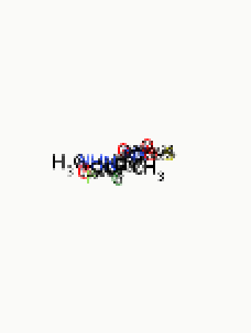 CNC(=O)c1ccc(-c2cc(Cl)c3ccc(C(=O)N4CCN(C(=O)OCCC5CS5)CC(C)C4C)cc3n2)cc1F